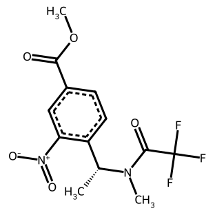 COC(=O)c1ccc([C@@H](C)N(C)C(=O)C(F)(F)F)c([N+](=O)[O-])c1